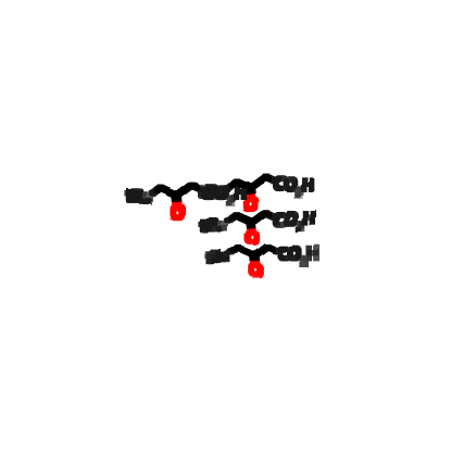 CC(C)(C)CC(=O)CC(=O)O.CC(C)(C)CC(=O)CC(=O)O.CC(C)(C)CC(=O)CC(=O)O.CC(C)(C)CC(=O)CC(=O)O